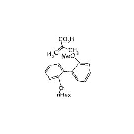 C=C(C)C(=O)O.CCCCCCOc1ccccc1-c1ccccc1OC